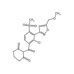 COCc1cc(-c2c(S(C)(=O)=O)ccc(C(=O)C3C(=O)CCCC3=O)c2Cl)no1